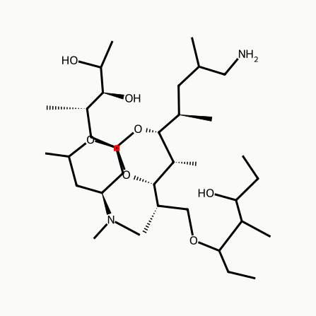 CCC(O)C(C)C(CC)OC[C@H](C)[C@H](OCC[C@H](C)[C@H](O)C(C)O)[C@@H](C)[C@H](OC1C[C@@H](N(C)C)CC(C)O1)[C@H](C)CC(C)CN